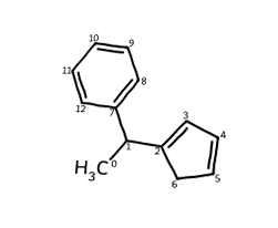 CC(C1=CC=CC1)c1ccccc1